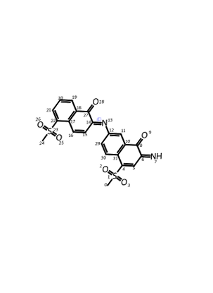 CS(=O)(=O)C1=CC(=N)C(=O)c2cc(/N=C3\C=Cc4c(cccc4S(C)(=O)=O)C3=O)ccc21